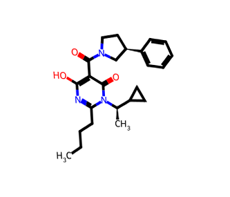 CCCCc1nc(O)c(C(=O)N2CC[C@@H](c3ccccc3)C2)c(=O)n1[C@H](C)C1CC1